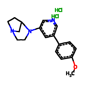 COc1ccc(-c2cncc(N3CCN4CCC3C4)c2)cc1.Cl.Cl